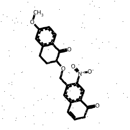 COc1ccc2c(c1)CCC(OCc1cc3c(cc1[N+](=O)[O-])C(=O)CC=C3)C2=O